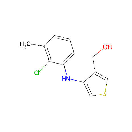 Cc1cccc(Nc2cscc2CO)c1Cl